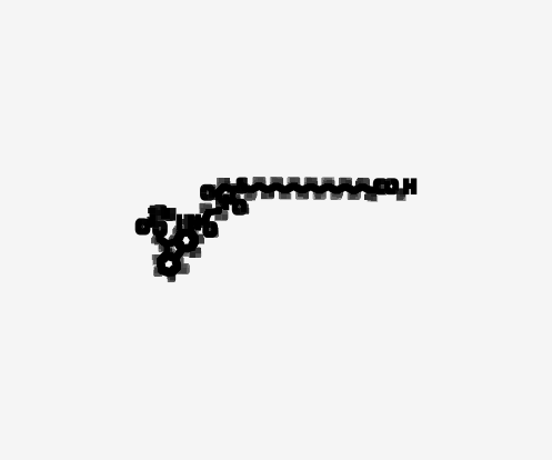 CC(C)(C)C(=O)OCC1c2ccccc2-c2ccc(NC(=O)CCN3C(=O)CC(SCCCCCCCCCCCCCCCC(=O)O)C3=O)cc21